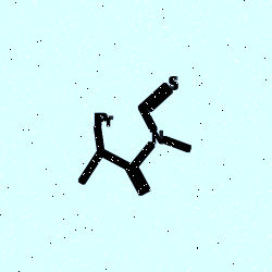 C=C(C(C)C(C)C)N(C)C=S